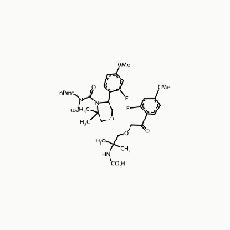 CCCCCN(C(=O)N1C(c2ccc(OC)cc2F)COCC1(C)C)C(C)(C)C.COc1ccc(C(=O)COCC(C)(C)NC(=O)O)c(F)c1